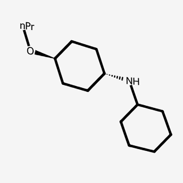 CCCO[C@H]1CC[C@H](NC2CCCCC2)CC1